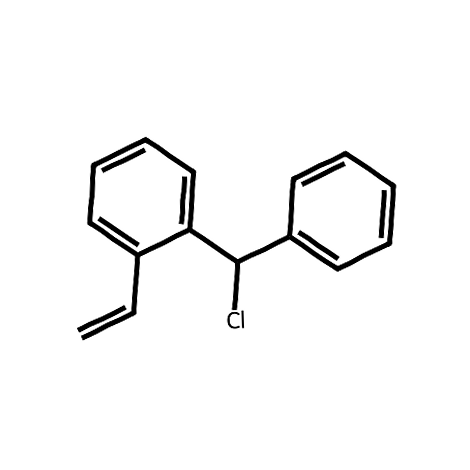 C=Cc1ccccc1C(Cl)c1ccccc1